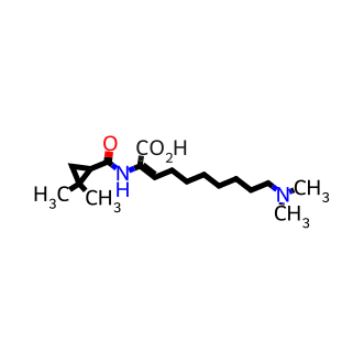 CN(C)CCCCCCC/C=C(/NC(=O)C1CC1(C)C)C(=O)O